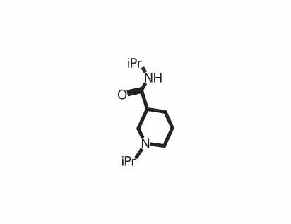 CC(C)NC(=O)C1CCCN(C(C)C)C1